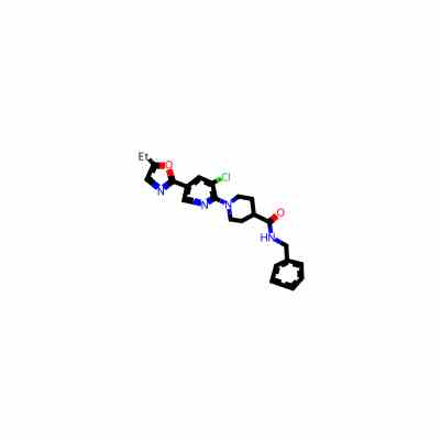 CCc1cnc(-c2cnc(N3CCC(C(=O)NCc4ccccc4)CC3)c(Cl)c2)o1